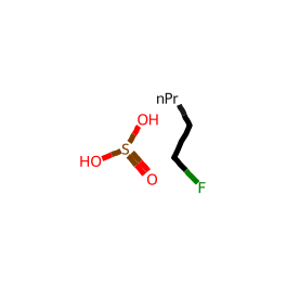 CCCCCF.O=S(O)O